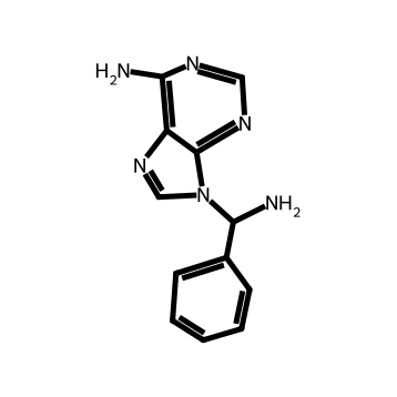 Nc1ncnc2c1ncn2C(N)c1ccccc1